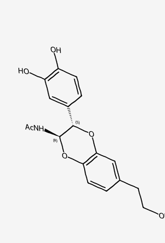 CC(=O)N[C@@H]1Oc2ccc(CCO)cc2O[C@H]1c1ccc(O)c(O)c1